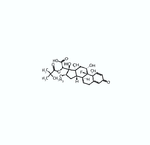 C[C@@H]1C[C@H]2[C@@H]3CCC4=CC(=O)C=C[C@]4(C)[C@@]3(F)[C@@H](O)C[C@]2(C)[C@@]1(O)[C@@H](OC(=O)C(C)(C)C)C(=O)O